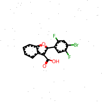 O=C(O)c1c(-c2cc(F)c(Br)cc2F)oc2ccccc12